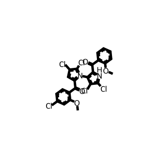 COc1ccccc1C(=O)c1[nH]c(Cl)c(Cl)c1-n1c(C(=O)c2ccc(Cl)cc2OC)cc(Cl)c1Cl